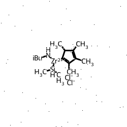 CCC(C)[NH][Zr+2]([C]1=C(C)C(C)=C(C)C1C)[SiH](C)C.[Cl-].[Cl-]